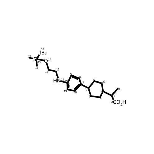 CC(C(=O)O)C1CCC(c2ccc(NCCO[Si](C)(C)C(C)(C)C)cc2)CC1